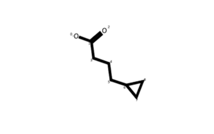 [O]C(=O)CCCC1CC1